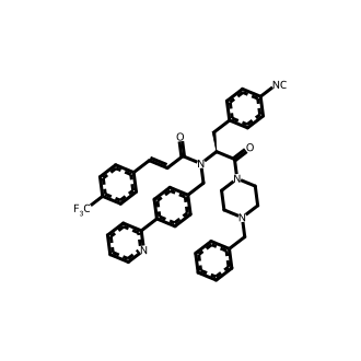 [C-]#[N+]c1ccc(C[C@@H](C(=O)N2CCN(Cc3ccccc3)CC2)N(Cc2ccc(-c3ccccn3)cc2)C(=O)/C=C/c2ccc(C(F)(F)F)cc2)cc1